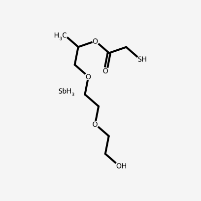 CC(COCCOCCO)OC(=O)CS.[SbH3]